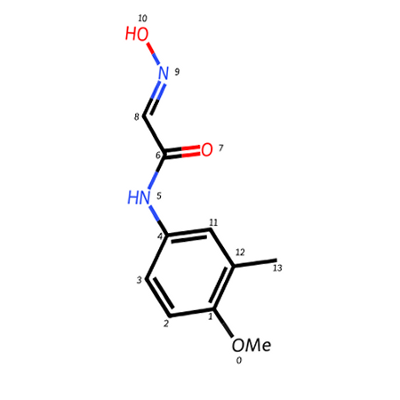 COc1ccc(NC(=O)C=NO)cc1C